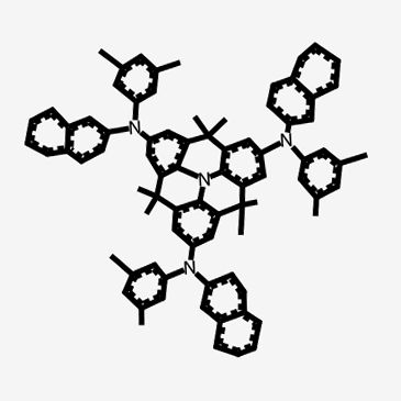 Cc1cc(C)cc(N(c2cc3c4c(c2)C(C)(C)c2cc(N(c5cc(C)cc(C)c5)c5ccc6ccccc6c5)cc5c2N4c2c(cc(N(c4cc(C)cc(C)c4)c4ccc6ccccc6c4)cc2C5(C)C)C3(C)C)c2ccc3ccccc3c2)c1